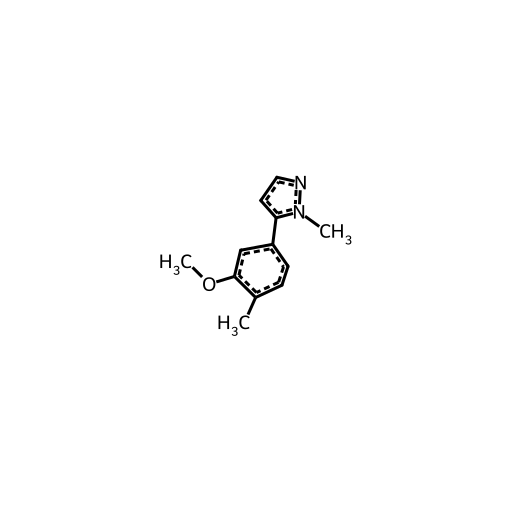 COc1cc(-c2ccnn2C)ccc1C